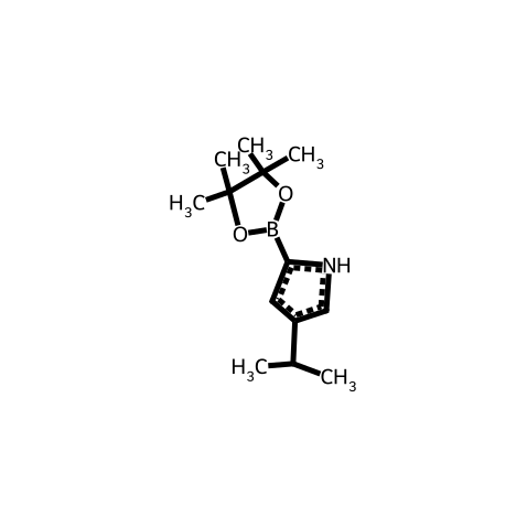 CC(C)c1c[nH]c(B2OC(C)(C)C(C)(C)O2)c1